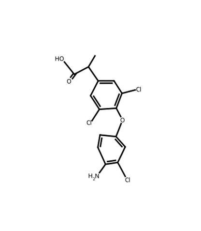 CC(C(=O)O)c1cc(Cl)c(Oc2ccc(N)c(Cl)c2)c(Cl)c1